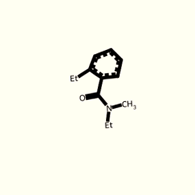 CCc1ccccc1C(=O)N(C)CC